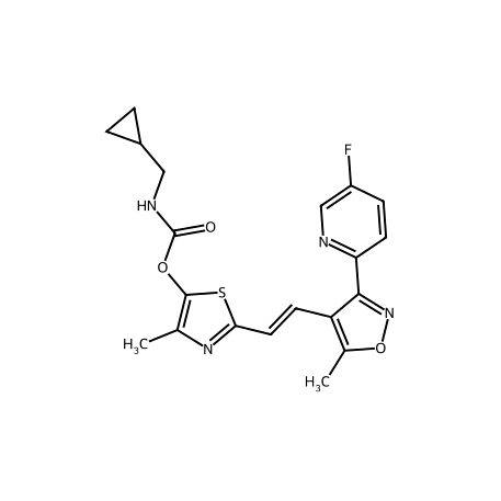 Cc1nc(/C=C/c2c(-c3ccc(F)cn3)noc2C)sc1OC(=O)NCC1CC1